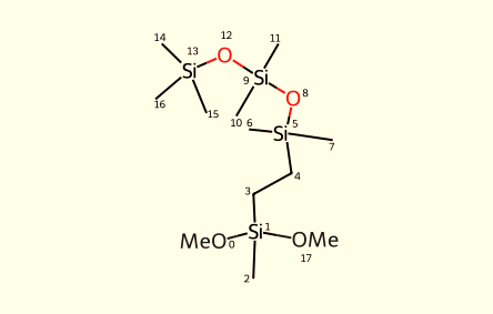 CO[Si](C)(CC[Si](C)(C)O[Si](C)(C)O[Si](C)(C)C)OC